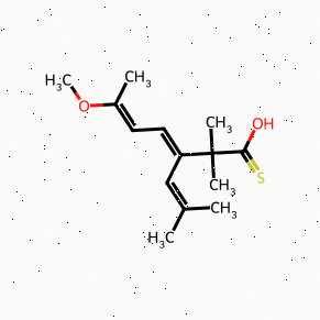 CO/C(C)=C/C=C(\C=C(C)C)C(C)(C)C(O)=S